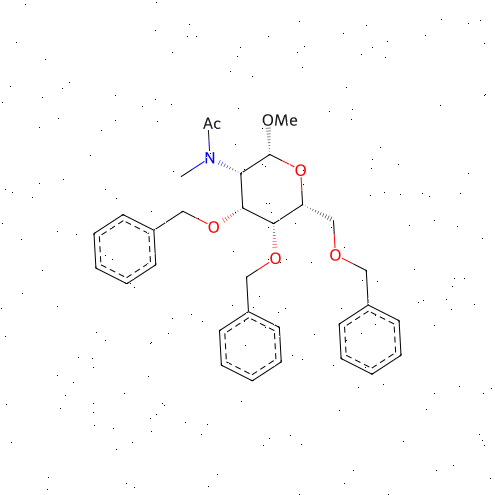 CO[C@@H]1O[C@H](COCc2ccccc2)[C@H](OCc2ccccc2)[C@H](OCc2ccccc2)[C@@H]1N(C)C(C)=O